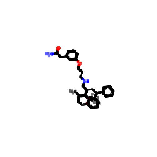 CC1=C(C(CNCCCOc2cccc(CC(N)=O)c2)CC(c2ccccc2)c2ccccc2)C(C)(C)CCC1